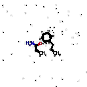 C=CC(N)=O.C=CCc1ccccc1